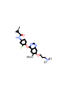 CCN(CC)CCCOc1cc2ncnc(Oc3ccc(NC(=O)C4C[C@H]4C)cc3F)c2cc1OC